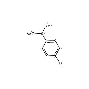 CCc1ccc(B(OC)OC)cc1